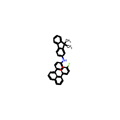 CC1(C)c2ccccc2-c2ccc(Nc3ccc(-c4cccc5cccc(-c6ccc(F)cc6)c45)cc3)cc21